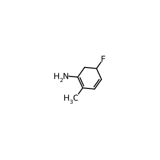 CC1=C(N)CC(F)C=C1